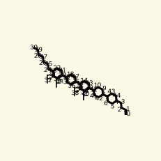 C=CCCC1CCC(C2CCC(c3ccc(-c4ccc(-c5ccc(CCCCCCC)c(F)c5F)cc4)c(F)c3F)CC2)CC1